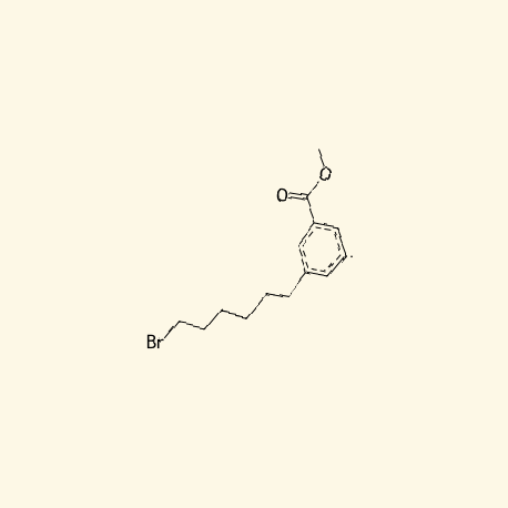 COC(=O)c1c[c]cc(CCCCCCBr)c1